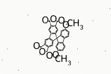 COc1ccc2c(c1)C1(c3cc(OC)ccc3-2)c2cc3c(cc2-c2cc4c(cc21)C(=O)OC4=O)C(=O)OC3=O